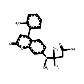 Cc1ccccc1-c1cc(=O)oc2cc(N(C)C(C)(C)CC(=O)O)ccc12